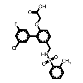 Cc1ccccc1S(=O)(=O)NCc1ccc(OCC(=O)O)c(-c2cc(F)cc(Cl)c2)c1